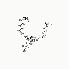 CCCCC/C=C\CCCO[Si](C)(CCCCBr)OCCC/C=C\CCCCC